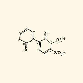 O=C(O)C1=CC=C(C2=CC=CCC2=S)C(=S)C1C(=O)O